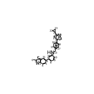 Cc1nc2ccc(-c3cccc(NCC45CCC(c6nc(C7CC7)no6)(CC4)CC5)c3)cc2s1